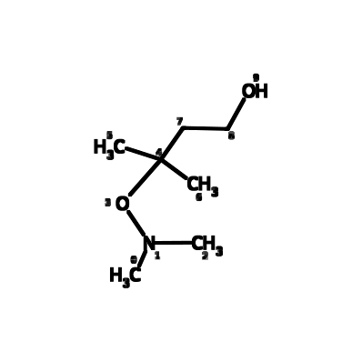 CN(C)OC(C)(C)CCO